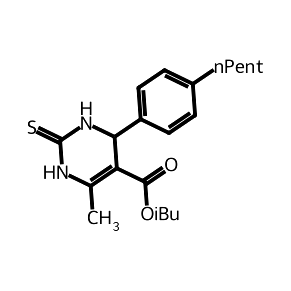 CCCCCc1ccc(C2NC(=S)NC(C)=C2C(=O)OCC(C)C)cc1